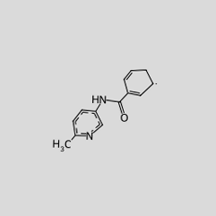 Cc1ccc(NC(=O)C2=C[CH]CC=C2)cn1